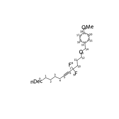 CCCCCCCCCCCCCCC#CC(F)(F)CCCOCc1ccc(OC)cc1